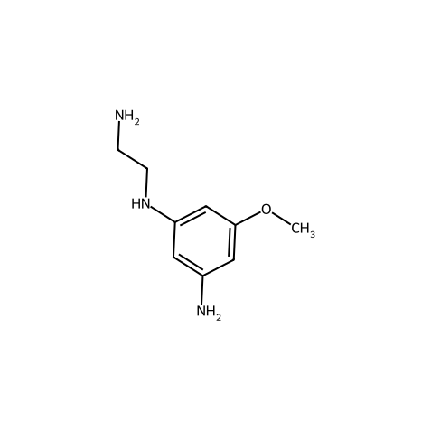 COc1cc(N)cc(NCCN)c1